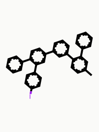 Cc1ccc(-c2cccc(-c3ccc(-c4ccccc4)c(-c4ccc(I)cc4)c3)c2)c(-c2ccccc2)c1